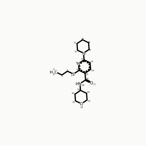 CCCSc1nc(N2C[CH]CCC2)ccc1C(=O)NC1CCOCC1